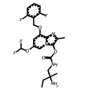 CCC(C)(N)CNC(=O)Oc1c(C)nc2c(OCc3c(F)cccc3F)cc(OC(F)F)cn12